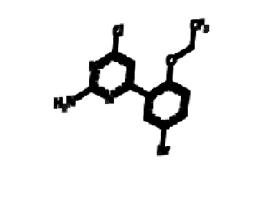 Nc1nc(Cl)cc(-c2cc(Br)ccc2OCC(F)(F)F)n1